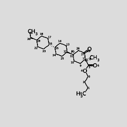 CCCCOC(=O)[C@@]1(C)CC[C@@H](C2CCC([C@H]3CC[C@H](CC)CC3)CC2)CC1=O